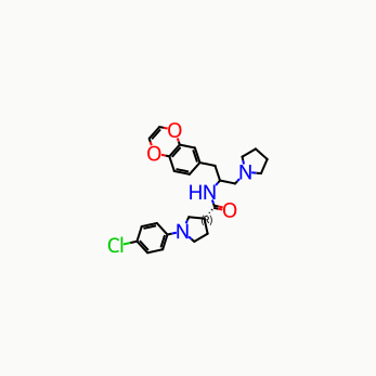 O=C(NC(Cc1ccc2c(c1)OC=CO2)CN1CCCC1)[C@@H]1CCN(c2ccc(Cl)cc2)C1